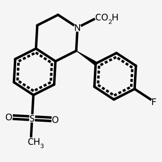 CS(=O)(=O)c1ccc2c(c1)[C@H](c1ccc(F)cc1)N(C(=O)O)CC2